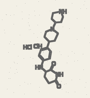 Cl.Cl.O=C1CCC(Nc2ccc(C3CCN(C4CCNCC4)CC3)cc2)C(=O)N1